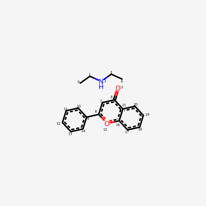 CCNCC.O=c1cc(-c2ccccc2)oc2ccccc12